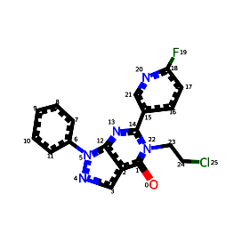 O=c1c2cnn(-c3ccccc3)c2nc(-c2ccc(F)nc2)n1CCCl